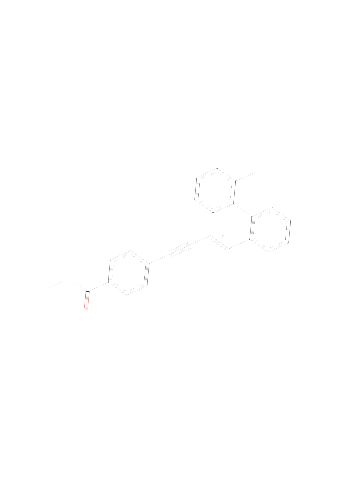 COC(=O)c1ccc(C#C/C=C/c2ccccc2-c2ccccc2C)cc1